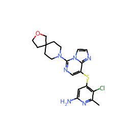 Cc1nc(N)cc(Sc2cnc(N3CCC4(CCOC4)CC3)n3ccnc23)c1Cl